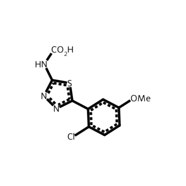 COc1ccc(Cl)c(-c2nnc(NC(=O)O)s2)c1